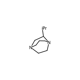 CC(C)C1CN2CCCN1CC2